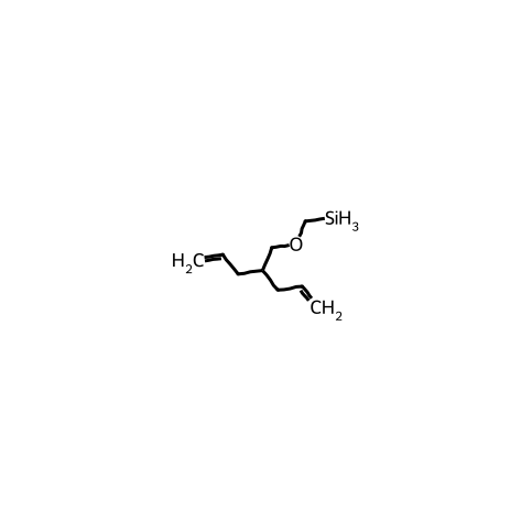 C=CCC(CC=C)COC[SiH3]